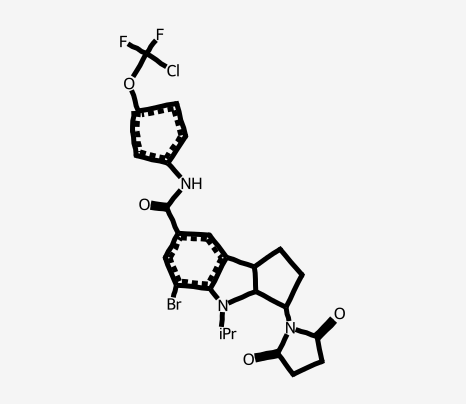 CC(C)N1c2c(Br)cc(C(=O)Nc3ccc(OC(F)(F)Cl)cc3)cc2C2CCC(N3C(=O)CCC3=O)C21